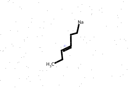 CC/C=C/C[CH2][Na]